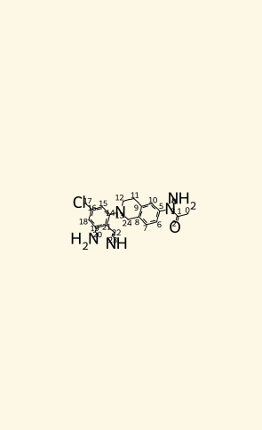 CC(=O)N(N)c1ccc2c(c1)CCN(c1cc(Cl)cc(N)c1C=N)C2